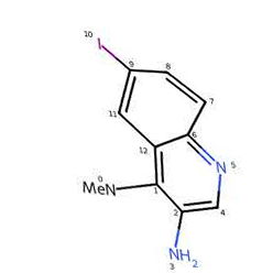 CNc1c(N)cnc2ccc(I)cc12